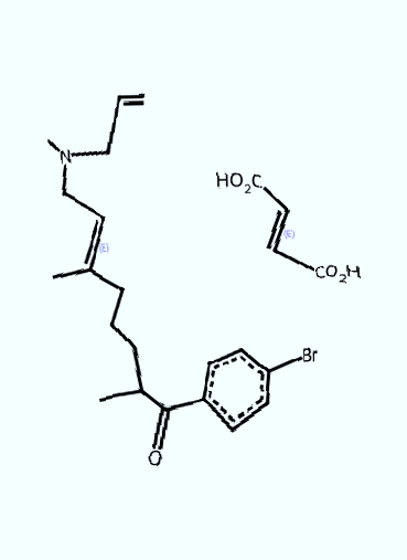 C=CCN(C)C/C=C(\C)CCCC(C)C(=O)c1ccc(Br)cc1.O=C(O)/C=C/C(=O)O